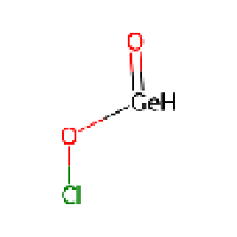 [O]=[GeH][O]Cl